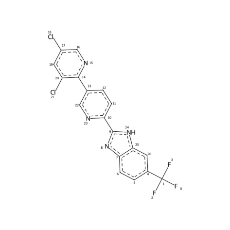 FC(F)(F)c1ccc2nc(-c3ccc(-c4ncc(Cl)cc4Cl)cn3)[nH]c2c1